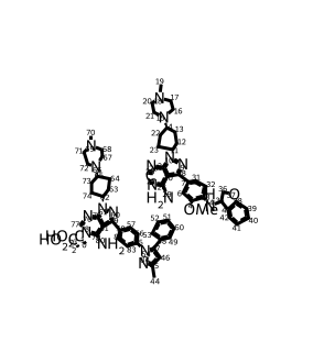 CC(=O)O.CC(=O)O.COc1cc(-c2nn([C@H]3CC[C@H](N4CCN(C)CC4)CC3)c3ncnc(N)c23)ccc1NC1COc2ccccc21.Cc1cc(-c2ccccc2)n(-c2ccc(-c3nn([C@H]4CC[C@H](N5CCN(C)CC5)CC4)c4ncnc(N)c34)cc2)n1